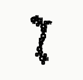 CC(C)Oc1nc2nn(C3CCN(CC4(F)CN(c5ccc6c(c5)CN(C5CCC(=O)NC5=O)C6=O)C4)CC3)cc2cc1NC(=O)c1cnn2cccnc12